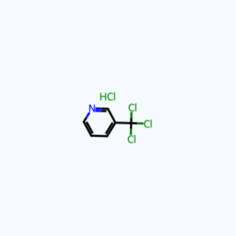 Cl.ClC(Cl)(Cl)c1cccnc1